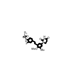 COc1c(C=Cc2ccc(NS(C)(=O)=O)c(F)c2)cc(N2CCC(=O)NC2=O)cc1C(C)(C)C